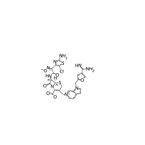 CO/N=C(\C(=O)N[C@@H]1C(=O)N2C(C(=O)[O-])=C(C[n+]3ccc4ccn(Cc5cc(C(=N)N)co5)c4c3)CS[C@H]12)c1nc(N)sc1Cl